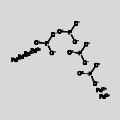 [O-]P([O-])[O-].[O-]P([O-])[O-].[O-]P([O-])[O-].[O-]P([O-])[O-].[Pd+2].[Pd+2].[Pd+2].[Pd+2].[Pd+2].[Pd+2]